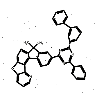 CC1(C)c2cc(-c3nc(-c4ccccc4)nc(-c4cccc(-c5ccccc5)c4)n3)ccc2-c2c1ccc1oc3cccnc3c21